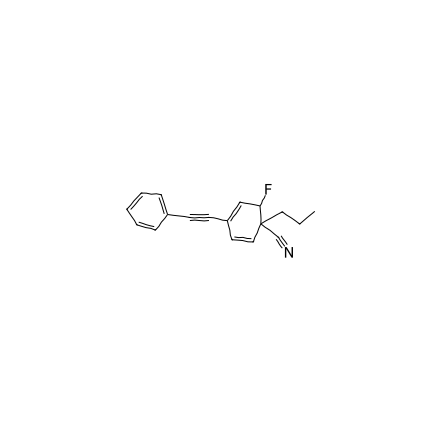 CCCC1(C#N)C=CC(C#Cc2ccccc2)=CC1F